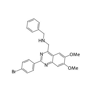 COc1cc2nc(-c3ccc(Br)cc3)nc(CNCc3ccccc3)c2cc1OC